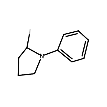 IC1CCCN1c1ccccc1